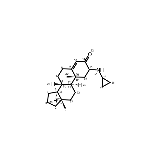 C[C@@]12CCC[C@H]1[C@@H]1CCC3=CC(=O)C(NC4CC4)C[C@]3(C)[C@H]1CC2